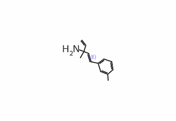 C=CC(C)(N)/C=C/c1cccc(C)c1